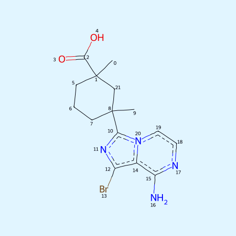 CC1(C(=O)O)CCCC(C)(c2nc(Br)c3c(N)nccn23)C1